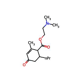 CCCC1CC(=O)C=C(C)C1C(=O)OCCN(C)C